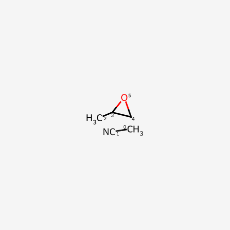 CC#N.CC1CO1